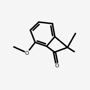 COc1cccc2c1C(=O)C2(C)C